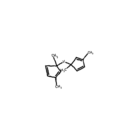 CC1=C[C](C)([V][C]2(C)C=CC(C)=C2)C=C1